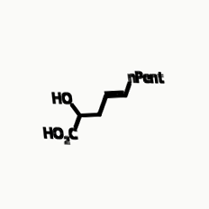 CCCCCC=CCC(O)C(=O)O